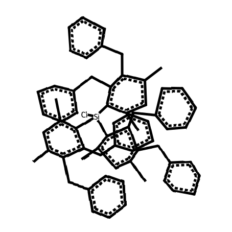 Cc1cc(C)c([Si](Cl)(c2c(C)cc(C)c(Cc3ccccc3)c2Cc2ccccc2)c2c(C)cc(C)c(Cc3ccccc3)c2Cc2ccccc2)c(Cc2ccccc2)c1Cc1ccccc1